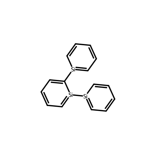 c1cc[si](-c2cccc[si]2-[si]2ccccc2)cc1